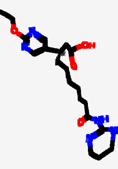 CCOc1ncc([C@@H](CCCCCCC(=O)NC2=NCCCN2)CC(=O)O)cn1